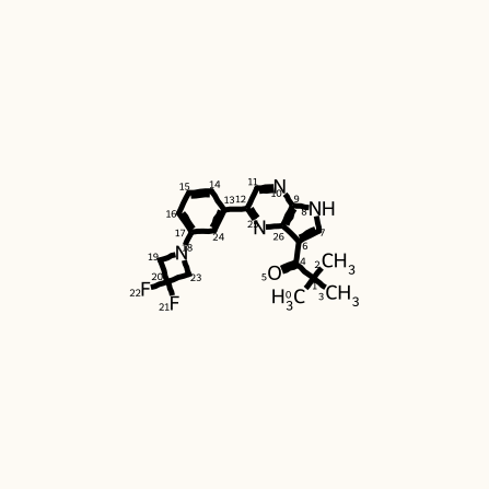 CC(C)(C)C(=O)c1c[nH]c2ncc(-c3cccc(N4CC(F)(F)C4)c3)nc12